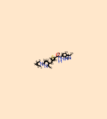 Cc1nc(N2CC3CC3C2)ccc1Cc1csc(C(=O)N[C@@H]2CCc3c(C)n[nH]c32)c1